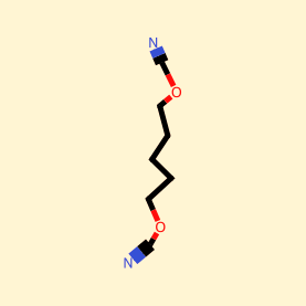 N#COCCCCCOC#N